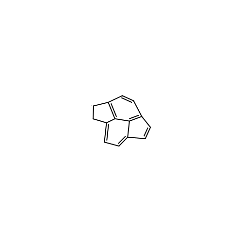 [CH]1Cc2ccc3c4c(ccc1c24)C=C3